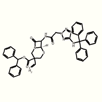 C=CC1(C(=O)OC(c2ccccc2)c2ccccc2)CS[C@@H]2C(NC(=O)Cn3nnc(NC(c4ccccc4)(c4ccccc4)c4ccccc4)n3)C(=O)N2C1